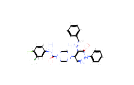 O=C(Nc1ccc(F)c(Cl)c1)N1CCN(c2cnn(-c3ccccc3)c(=O)c2NCc2ccccc2)CC1